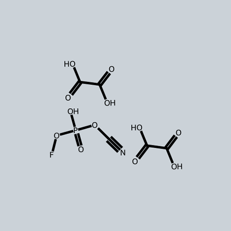 N#COP(=O)(O)OF.O=C(O)C(=O)O.O=C(O)C(=O)O